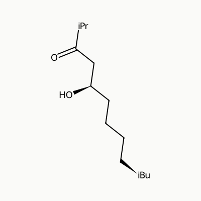 CC[C@H](C)CCCC[C@@H](O)CC(=O)C(C)C